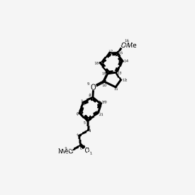 COC(=O)CCc1ccc(OC2CCc3cc(OC)ccc32)cc1